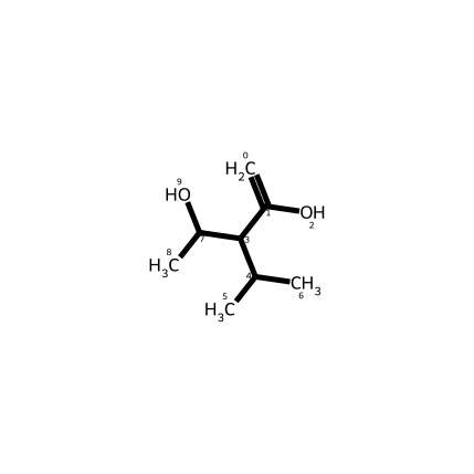 C=C(O)C(C(C)C)C(C)O